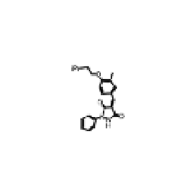 Cc1cc(C=C2C(=O)NN(c3ccccc3)C2=O)ccc1OCCC(C)C